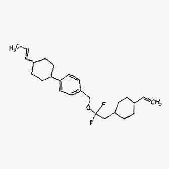 C=CC1CCC(CC(F)(F)OCc2ccc(C3CCC(C=CC)CC3)cc2)CC1